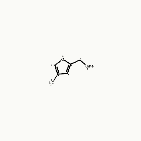 [CH2]c1cc(COC)on1